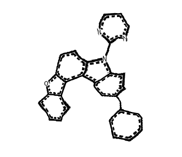 c1ccc(-c2ccc3c(c2)c2c4c(ccc2n3-c2ncccn2)oc2ccccc24)cc1